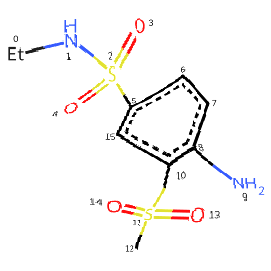 CCNS(=O)(=O)c1ccc(N)c(S(C)(=O)=O)c1